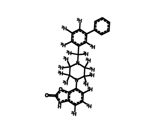 [2H]c1c([2H])c(-c2ccccc2)c([2H])c(C([2H])([2H])N2C([2H])([2H])C([2H])([2H])N(c3c([2H])c([2H])c([2H])c4[nH]c(=O)oc34)C([2H])([2H])C2([2H])[2H])c1[2H]